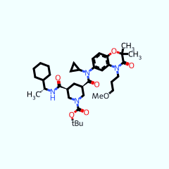 COCCCN1C(=O)C(C)(C)Oc2ccc(N(C(=O)[C@@H]3C[C@H](C(=O)N[C@H](C)C4CCCCC4)CN(C(=O)OC(C)(C)C)C3)C3CC3)cc21